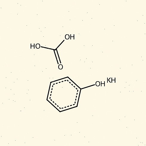 O=C(O)O.Oc1ccccc1.[KH]